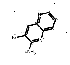 Nc1nc2cccnc2cc1Br